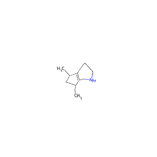 CC1CC(C)C2=C1CCN2